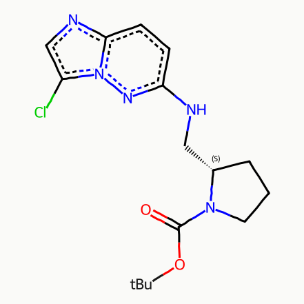 CC(C)(C)OC(=O)N1CCC[C@H]1CNc1ccc2ncc(Cl)n2n1